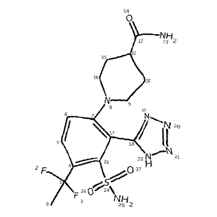 CC(F)(F)c1ccc(N2CCC(C(N)=O)CC2)c(-c2nnn[nH]2)c1S(N)(=O)=O